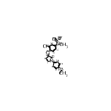 COc1ccc(N2CCC(Oc3ccc(N(C)[N+](=O)[O-])cc3Cl)C2)cc1